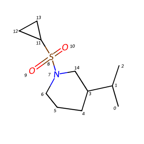 CC(C)C1CCCN(S(=O)(=O)C2CC2)C1